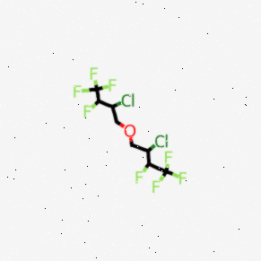 FC(C(Cl)COCC(Cl)C(F)C(F)(F)F)C(F)(F)F